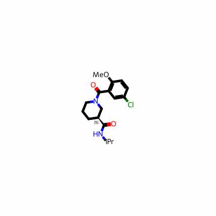 COc1ccc(Cl)cc1C(=O)N1CCC[C@H](C(=O)NC(C)C)C1